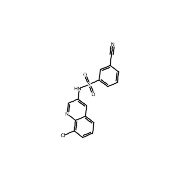 N#Cc1cccc(S(=O)(=O)Nc2cnc3c(Cl)cccc3c2)c1